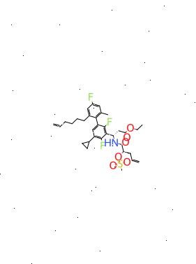 C=CCCCCc1cc(F)cc(C)c1-c1cc(C2CC2)c(F)c([C@H](CC(=O)OCC)NC(=O)[C@@H](CC=C)OS(C)(=O)=O)c1F